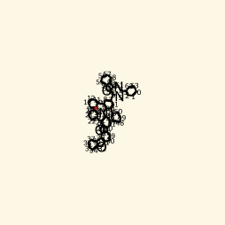 c1ccc(-c2nc(-c3cc(-c4ccccc4)c(-n4c5ccccc5c5c6oc7c(ccc8oc9ccccc9c87)c6ccc54)c(-c4ccccc4)c3)c3oc4ccccc4c3n2)cc1